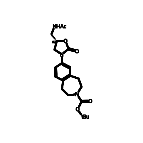 CC(=O)NC[C@H]1CN(c2ccc3c(c2)CCN(C(=O)OC(C)(C)C)CC3)C(=O)O1